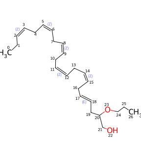 CC/C=C\C/C=C\C/C=C\C/C=C\C/C=C\C/C=C/CC(CO)OCCC